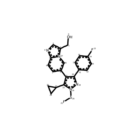 OCc1cnc2ccc(-c3c(-c4ccc(F)cc4)nn(SF)c3C3CC3)cn12